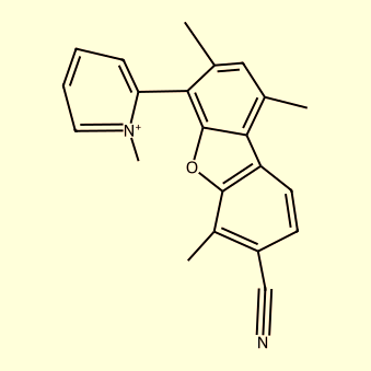 Cc1cc(C)c2c(oc3c(C)c(C#N)ccc32)c1-c1cccc[n+]1C